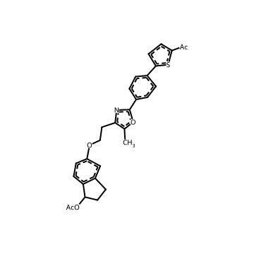 CC(=O)OC1CCc2cc(OCCc3nc(-c4ccc(-c5ccc(C(C)=O)s5)cc4)oc3C)ccc21